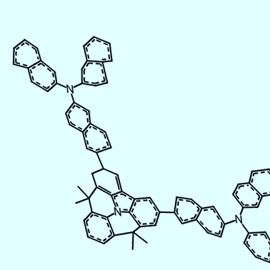 CC1(C)C2=c3c(c4cc(-c5ccc6cc(N(c7ccc8ccccc8c7)c7ccc8ccccc8c7)ccc6c5)cc5c4n3-c3c1cccc3C5(C)C)=CC(c1ccc3cc(N(c4ccc5ccccc5c4)c4ccc5ccccc5c4)ccc3c1)C2